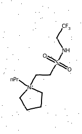 CCC[N+]1(CCS(=O)(=O)NCC(F)(F)F)CCCC1